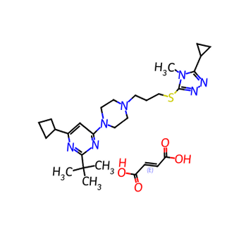 Cn1c(SCCCN2CCN(c3cc(C4CCC4)nc(C(C)(C)C)n3)CC2)nnc1C1CC1.O=C(O)/C=C/C(=O)O